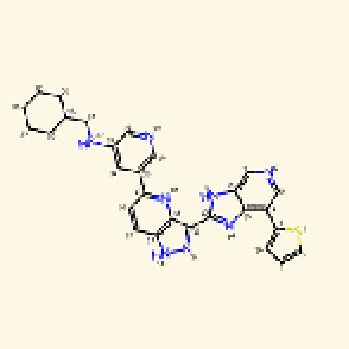 c1csc(-c2cncc3[nH]c(-c4n[nH]c5ccc(-c6cncc(NCC7CCCCC7)c6)nc45)nc23)c1